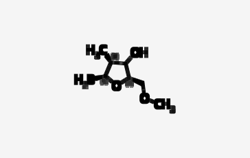 B[C@@H]1O[C@H](COC)C(O)[C@@H]1C